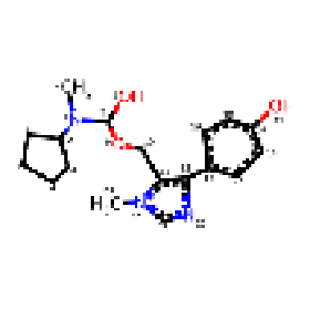 CN(C1CCCC1)C(O)OCc1c(-c2ccc(O)cc2)ncn1C